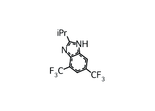 CC(C)c1nc2c(C(F)(F)F)cc(C(F)(F)F)cc2[nH]1